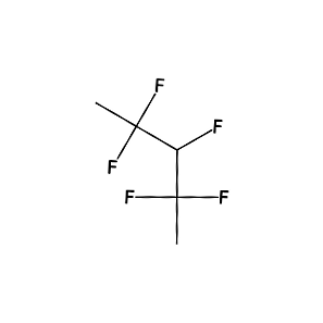 CC(F)(F)C(F)C(C)(F)F